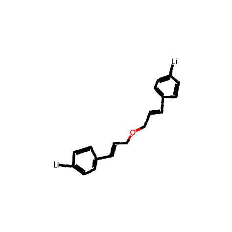 [Li][c]1ccc(C=CCOCC=Cc2cc[c]([Li])cc2)cc1